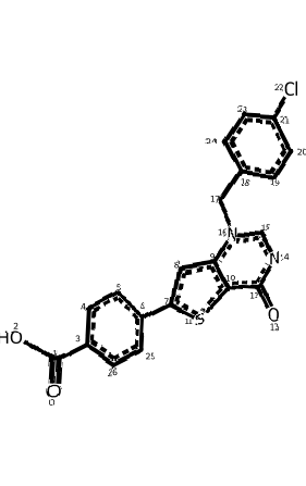 O=C(O)c1ccc(-c2cc3c(s2)c(=O)ncn3Cc2ccc(Cl)cc2)cc1